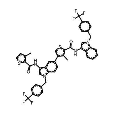 Cc1ccsc1C(=O)Nc1cn(Cc2ccc(C(F)(F)F)cc2)c2ccc(-c3csc(C(=O)Nc4cn(Cc5ccc(C(F)(F)F)cc5)c5ccccc45)c3C)cc12